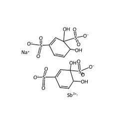 O=S(=O)([O-])C1=CC(O)(S(=O)(=O)[O-])C(O)C=C1.O=S(=O)([O-])C1=CC(O)(S(=O)(=O)[O-])C(O)C=C1.[Na+].[Sb+3]